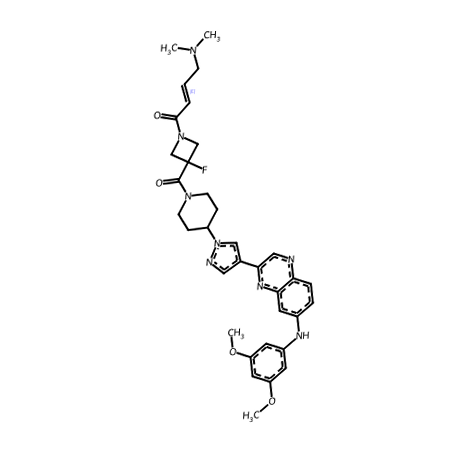 COc1cc(Nc2ccc3ncc(-c4cnn(C5CCN(C(=O)C6(F)CN(C(=O)/C=C/CN(C)C)C6)CC5)c4)nc3c2)cc(OC)c1